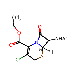 CC(=O)NC1C(=O)N2C(C(=O)OCC(Cl)(Cl)Cl)=C(Cl)CS[C@H]12